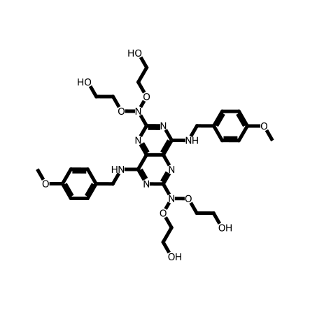 COc1ccc(CNc2nc(N(OCCO)OCCO)nc3c(NCc4ccc(OC)cc4)nc(N(OCCO)OCCO)nc23)cc1